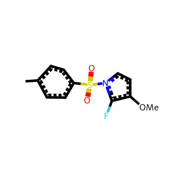 COc1ccn(S(=O)(=O)c2ccc(C)cc2)c1F